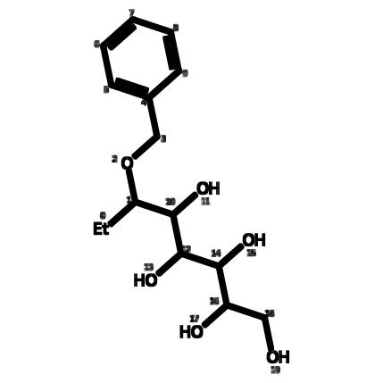 CCC(OCc1ccccc1)C(O)C(O)C(O)C(O)CO